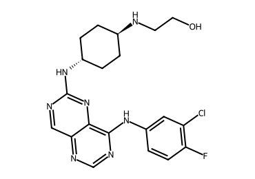 OCCN[C@H]1CC[C@H](Nc2ncc3ncnc(Nc4ccc(F)c(Cl)c4)c3n2)CC1